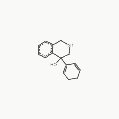 OC1(C2=CCCC=C2)CNCc2ccccc21